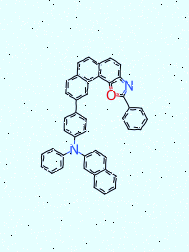 c1ccc(-c2nc3ccc4ccc5ccc(-c6ccc(N(c7ccccc7)c7ccc8ccccc8c7)cc6)cc5c4c3o2)cc1